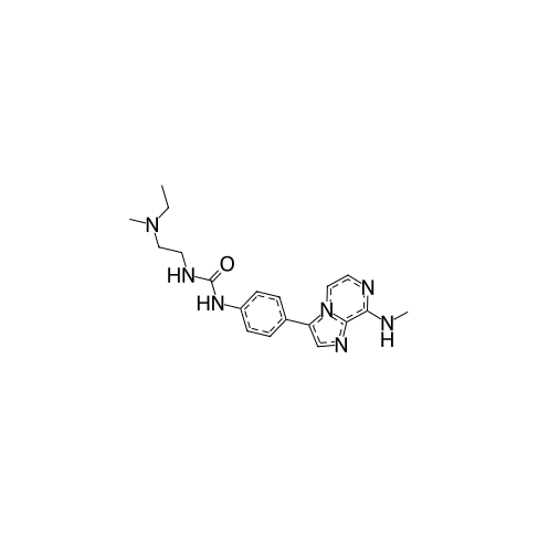 CCN(C)CCNC(=O)Nc1ccc(-c2cnc3c(NC)nccn23)cc1